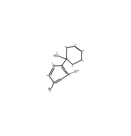 OC1(c2ncc(Br)cc2Cl)CCCCC1